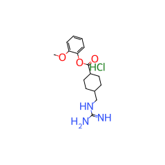 COc1ccccc1OC(=O)C1CCC(CNC(=N)N)CC1.Cl